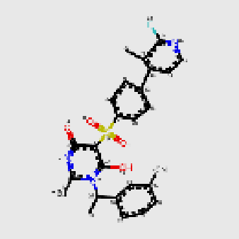 CCCCc1nc(=O)c(S(=O)(=O)c2ccc(-c3ccnc(F)c3C)cc2)c(O)n1C(C)c1cccc(C#N)c1